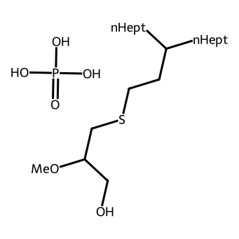 CCCCCCCC(CCCCCCC)CCSCC(CO)OC.O=P(O)(O)O